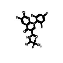 CCC(NC(=O)c1cn(-c2c(F)cc(F)cc2F)c2nc(Cl)c(F)cc2c1=O)C(F)(F)C(F)(F)F